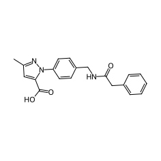 Cc1cc(C(=O)O)n(-c2ccc(CNC(=O)Cc3ccccc3)cc2)n1